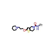 CC(C)NC(=O)N1CCc2sc(OCCCN3CCCCC3)cc2C1